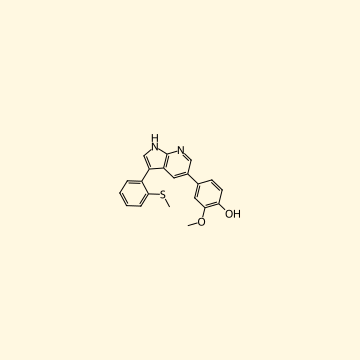 COc1cc(-c2cnc3[nH]cc(-c4ccccc4SC)c3c2)ccc1O